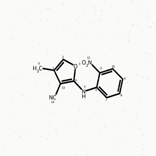 Cc1coc(Nc2ccccc2[N+](=O)[O-])c1C#N